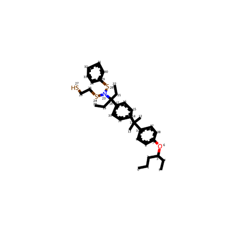 CCCC(CC)Oc1ccc(C(C)(C)c2ccc(C(CC)(CC)N(SCCS)Sc3ccccc3)cc2)cc1